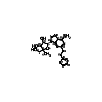 C[C@]1(CO)O[C@@H](n2cnc3c(N)nc(CCc4nccs4)nc32)[C@H](O)[C@@H]1O